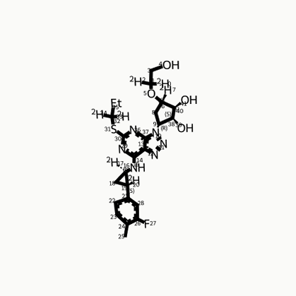 [2H]C([2H])(CO)O[C@@]1([2H])C[C@@H](n2nnc3c(N[C@]4([2H])C[C@@]4([2H])c4ccc(C)c(F)c4)nc(SC([2H])([2H])CC)nc32)[C@H](O)[C@@H]1O